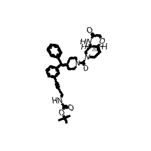 CC(C)(C)OC(=O)NCC#Cc1cccc(C(=C2CCN(C(=O)N3CC[C@@H]4OCC(=O)N[C@@H]4C3)CC2)c2ccccc2)c1